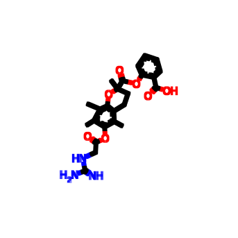 Cc1c(C)c2c(c(C)c1OC(=O)CNC(=N)N)CCC(C)(C(=O)Oc1ccccc1C(=O)O)O2